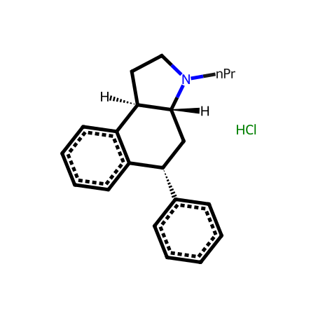 CCCN1CC[C@@H]2c3ccccc3[C@@H](c3ccccc3)C[C@H]21.Cl